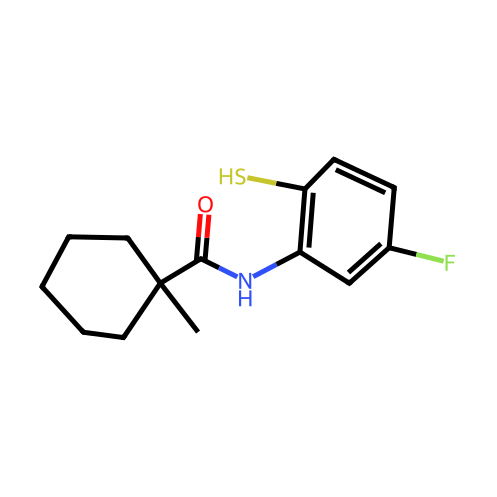 CC1(C(=O)Nc2cc(F)ccc2S)CCCCC1